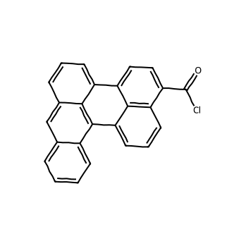 O=C(Cl)c1ccc2c3cccc4cc5ccccc5c(c5cccc1c25)c43